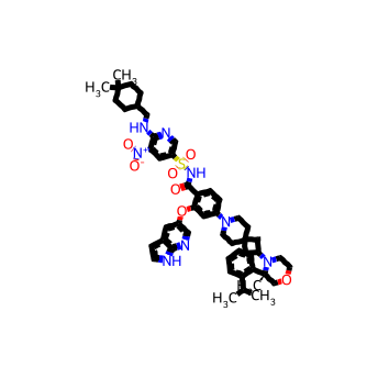 CC(C)c1ccccc1[C@]1(C)COCCN1C1CC2(CCN(c3ccc(C(=O)NS(=O)(=O)c4cnc(NCC5CCC(C)(C)CC5)c([N+](=O)[O-])c4)c(Oc4cnc5[nH]ccc5c4)c3)CC2)C1